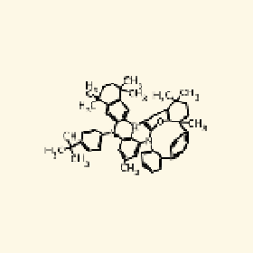 Cc1cc2c3c(c1)N1c4ccccc4-c4ccc(cc4)C4(C)CCC(C)(C)c5c4oc1c5B3c1cc3c(cc1N2c1ccc(C(C)(C)C)cc1)C(C)(C)CCC3(C)C